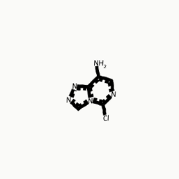 Nc1cnc(Cl)n2cnnc12